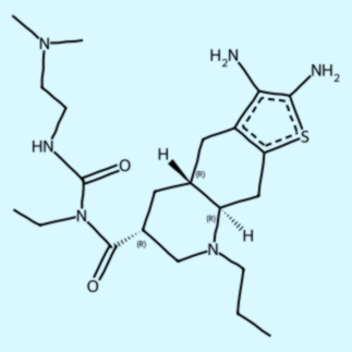 CCCN1C[C@H](C(=O)N(CC)C(=O)NCCN(C)C)C[C@@H]2Cc3c(sc(N)c3N)C[C@H]21